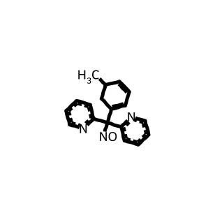 CC1C=CC=C(C(N=O)(c2ccccn2)c2ccccn2)C1